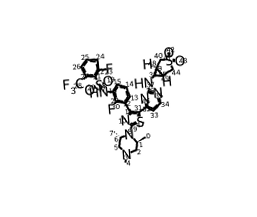 C[C@H]1CN(C)C[C@H](C)N1c1nc(-c2cccc(NS(=O)(=O)c3c(F)cccc3C(F)(F)F)c2F)c(-c2ccnc(NC3[C@H]4CS(=O)(=O)C[C@@H]34)n2)s1